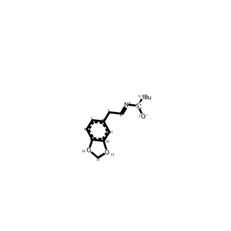 CC(C)(C)[S@@+]([O-])N=CCc1ccc2c(c1)OCO2